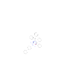 c1ccc(-c2ccc(-c3nc(-c4ccccc4)nc(-c4cccc5c4[Si](c4ccccc4)(c4ccccc4)c4ccccc4-5)n3)cc2)cc1